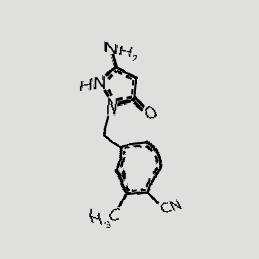 Cc1cc(Cn2[nH]c(N)cc2=O)ccc1C#N